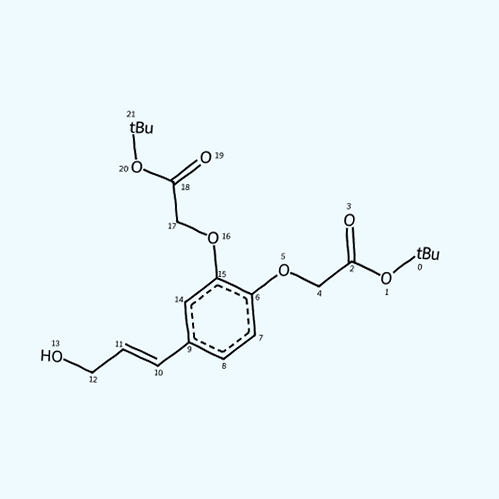 CC(C)(C)OC(=O)COc1ccc(/C=C/CO)cc1OCC(=O)OC(C)(C)C